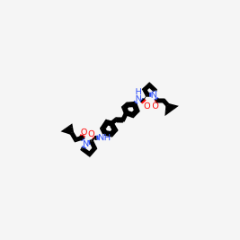 O=C(Nc1ccc(/C=C/c2ccc(NC(=O)[C@@H]3CCCN3C(=O)CC3CC3)cc2)cc1)[C@@H]1CCCN1C(=O)CC1CC1